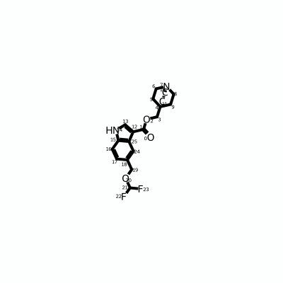 O=C(OCC12CCN(CC1)CC2)c1c[nH]c2ccc(COC(F)F)cc12